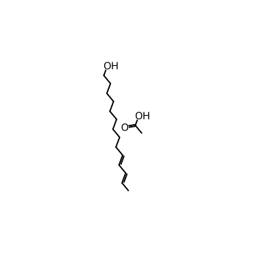 CC(=O)O.CC=CC=CCCCCCCCCCO